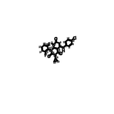 Cn1c(=O)cc(Nc2ccc(Cl)cc2)c2c(=O)n(C3CC3)c(=O)n(-c3c(F)cccc3F)c21